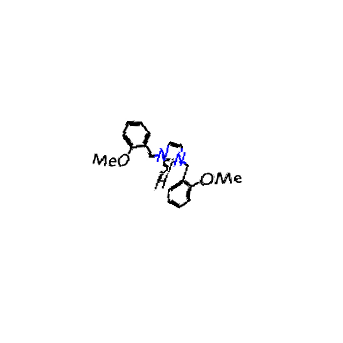 COc1ccccc1CN1C=CN(Cc2ccccc2OC)[SiH]1C